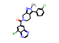 Cn1nc2c(c1-c1cccc(Cl)c1)CCN(C(=O)c1cc(Br)c3nccnc3c1)C2